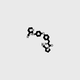 N#Cc1cccnc1Nc1ccc(Oc2ccc(C[C@H](N)C(=O)N3CCCC3C#N)cc2)cc1